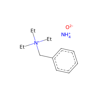 CC[N+](CC)(CC)Cc1ccccc1.[NH4+].[O-2]